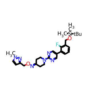 Cn1ccc(CON=C2CCN(c3ncc(-c4cccc(CO[Si](C)(C)C(C)(C)C)c4F)cn3)CC2)n1